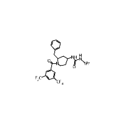 CC(C)NC(=O)NC1CCN(C(=O)c2cc(C(F)(F)F)cc(C(F)(F)F)c2)C(Cc2ccccc2)C1